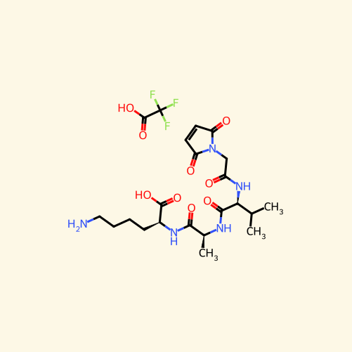 CC(C)[C@H](NC(=O)CN1C(=O)C=CC1=O)C(=O)N[C@@H](C)C(=O)N[C@@H](CCCCN)C(=O)O.O=C(O)C(F)(F)F